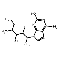 COC(C)C(O)C(F)C(C)n1cnc2c(N)nc(O)nc21